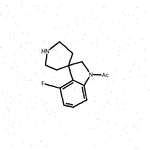 CC(=O)N1CC2(CCNCC2)c2c(F)cccc21